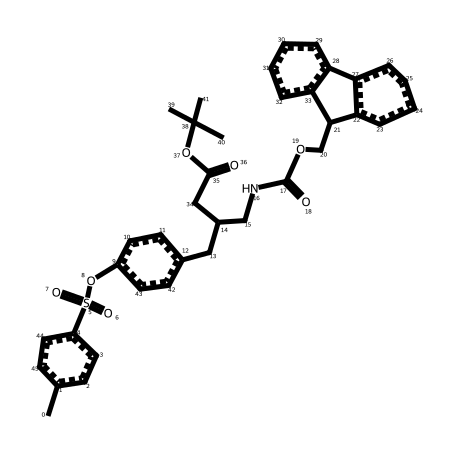 Cc1ccc(S(=O)(=O)Oc2ccc(CC(CNC(=O)OCC3c4ccccc4-c4ccccc43)CC(=O)OC(C)(C)C)cc2)cc1